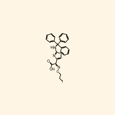 O=C(O)/C(=N\OCCI)c1csc(NC(c2ccccc2)(c2ccccc2)c2ccccc2)n1